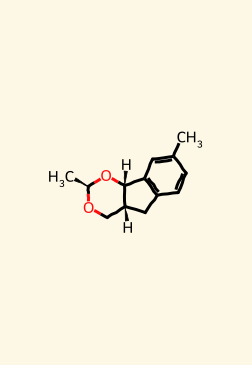 Cc1ccc2c(c1)[C@H]1O[C@H](C)OC[C@H]1C2